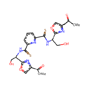 COC(=O)c1coc(C(CO)NC(=S)c2cccc(C(=S)NC(CO)c3nc(C(=O)OC)co3)n2)n1